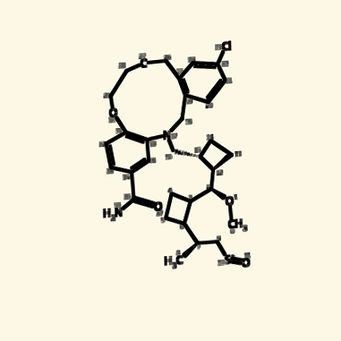 CO[C@@H](C1CCC1[C@H](C)C[S+]=O)[C@@H]1CC[C@H]1CN1Cc2ccc(Cl)cc2CCCCOc2ccc(C(N)=O)cc21